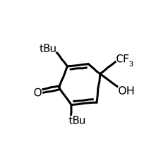 CC(C)(C)C1=CC(O)(C(F)(F)F)C=C(C(C)(C)C)C1=O